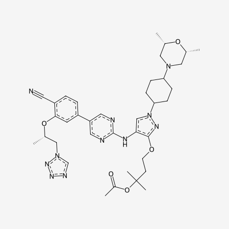 CC(=O)OC(C)(C)CCOc1nn(C2CCC(N3C[C@@H](C)O[C@@H](C)C3)CC2)cc1Nc1ncc(-c2ccc(C#N)c(O[C@@H](C)Cn3cnnn3)c2)cn1